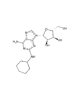 Nc1nc(NC2CCCCC2)nc2c1ncn2[C@@H]1O[C@H](CO)[C@@H](O)[C@H]1O